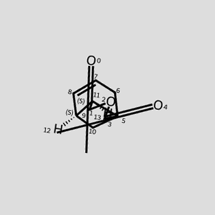 O=C1OC(=O)C23CC=C[C@H](C2)[C@H]13